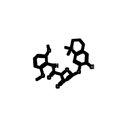 COc1cccc(OC)c1NC(=O)C1OC(Oc2cc3c(cc2Cl)CCC[Si]3(C)C)=CC1=O